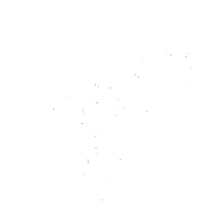 O=C(NCc1cccnc1)c1nn2c(C(F)(F)F)cc(-c3ccc(F)cc3)cc2c1Cl